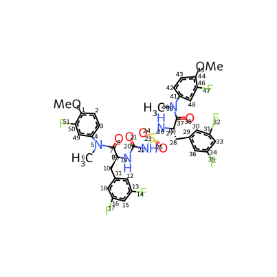 COc1ccc(N(C)C(=O)[C@H](Cc2cc(F)cc(F)c2)NC(=O)NS(=O)(=O)N[C@@H](Cc2cc(F)cc(F)c2)C(=O)N(C)c2ccc(OC)c(F)c2)cc1F